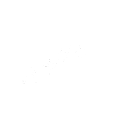 CC(=O)c1c(I)c(-c2ccc(Oc3ccccn3)cc2)nn1[C@@H]1CCCN(C(=O)OC(C)(C)C)C1